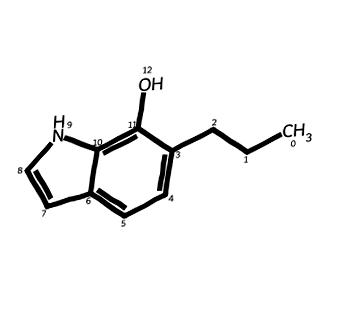 CCCc1ccc2cc[nH]c2c1O